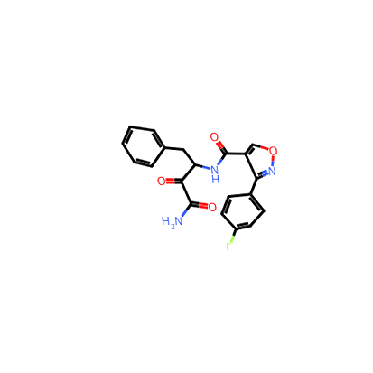 NC(=O)C(=O)C(Cc1ccccc1)NC(=O)c1conc1-c1ccc(F)cc1